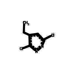 CCc1cc(Cl)nnc1Cl